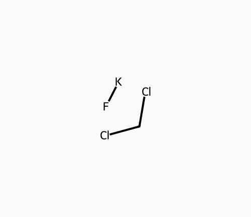 ClCCl.[F][K]